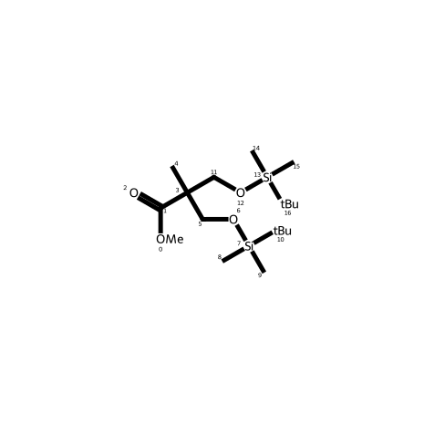 COC(=O)C(C)(CO[Si](C)(C)C(C)(C)C)CO[Si](C)(C)C(C)(C)C